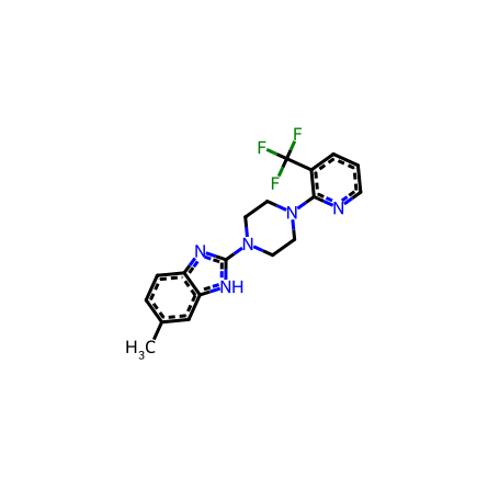 Cc1ccc2nc(N3CCN(c4ncccc4C(F)(F)F)CC3)[nH]c2c1